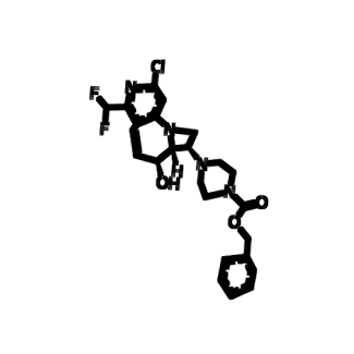 O=C(OCc1ccccc1)N1CCN([C@@H]2CN3c4cc(Cl)nc(C(F)F)c4C=C[C@H](O)[C@@H]23)CC1